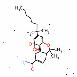 CCCCCCC(C)(C)C1=CC(O)(O)C2=C3CC(C(N)=O)=CCC3C(C)(C)OC2=C1